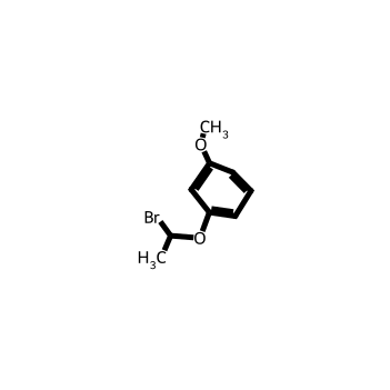 COc1cccc(OC(C)Br)c1